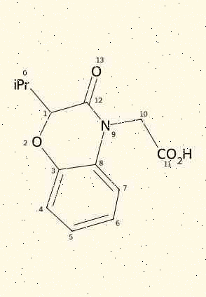 CC(C)C1Oc2ccccc2N(CC(=O)O)C1=O